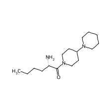 CCCC[C@H](N)C(=O)N1CCC(N2CCCCC2)CC1